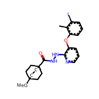 COC12CCC(C(=O)NNc3ncccc3Oc3cccc(I)c3C)(CC1)CC2